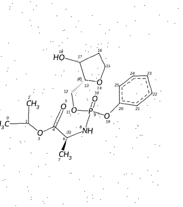 CC(C)OC(=O)[C@H](C)NP(=O)(OC[C@H]1OCCC1O)Oc1ccccc1